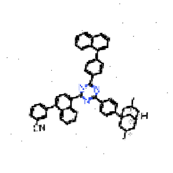 C[C@@H]1C[C@@H]2C[C@H](C)CC(c3ccc(-c4nc(-c5ccc(-c6cccc7ccccc67)cc5)nc(-c5ccc(-c6cccc(C#N)c6)c6ccccc56)n4)cc3)(C1)C2